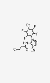 CCc1c(F)c(F)c(-n2ncc(C#N)c2NC(=O)CCCl)c(F)c1F